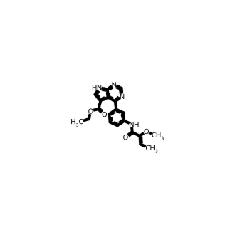 CC=C(OC)C(=O)Nc1cccc(-c2ncnc3[nH]cc(C(=O)OCC)c23)c1